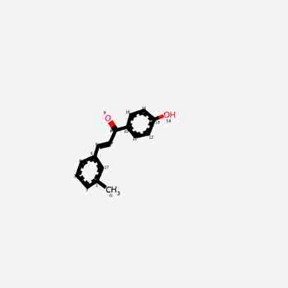 Cc1cccc(C=CC(=O)c2ccc(O)cc2)c1